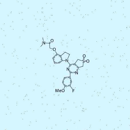 COc1ccc(-c2nc3c(c(N4CCc5c(OCC(=O)N(C)C)cccc54)n2)CS(=O)(=O)C3)cc1F